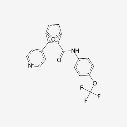 O=C(Nc1ccc(OC(F)(F)F)cc1)c1c(-c2ccncc2)c2ccc1o2